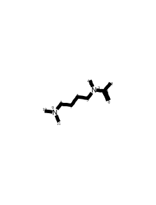 C=C(C)N(C)CCCCN(C)C